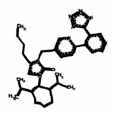 CCCCc1cn(C2C(C(C)C)CCCC2C(C)C)c(=O)n1Cc1ccc(-c2ccccc2-c2nnn[nH]2)nc1